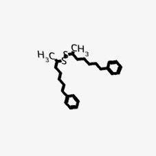 CC(CCCCCc1ccccc1)SSC(C)CCCCCc1ccccc1